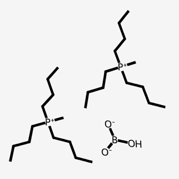 CCCC[P+](C)(CCCC)CCCC.CCCC[P+](C)(CCCC)CCCC.[O-]B([O-])O